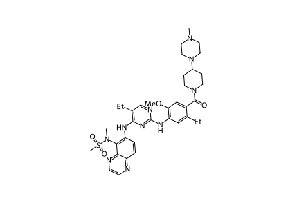 CCc1cc(Nc2ncc(CC)c(Nc3ccc4nccnc4c3N(C)S(C)(=O)=O)n2)c(OC)cc1C(=O)N1CCC(N2CCN(C)CC2)CC1